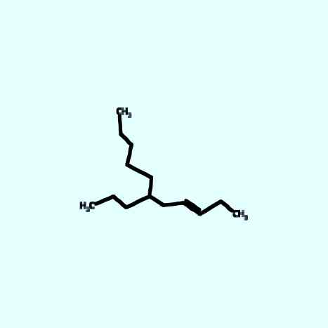 CC/C=C/[CH]C(CCC)CCCCC